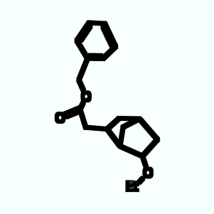 CCOC1CC2CC(CC(=O)OCc3ccccc3)C1C2